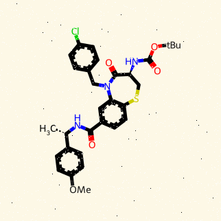 COc1ccc([C@H](C)NC(=O)c2ccc3c(c2)N(Cc2ccc(Cl)cc2)C(=O)[C@@H](NC(=O)OC(C)(C)C)CS3)cc1